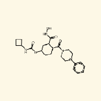 O=C(NC1CCC1)OC1CC[C@H](C(=O)N2CCN(c3ccccc3)CC2)C(C(=O)NO)C1